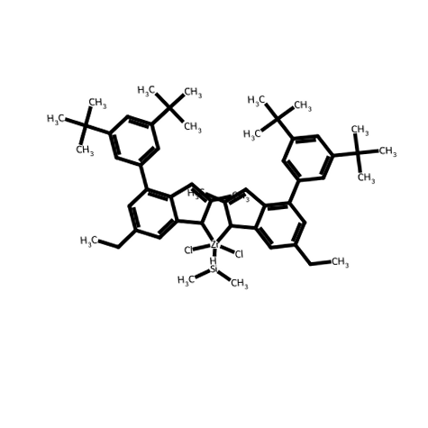 CCc1cc(-c2cc(C(C)(C)C)cc(C(C)(C)C)c2)c2c(c1)[CH]([Zr]([Cl])([Cl])([CH]1C(C)=Cc3c(-c4cc(C(C)(C)C)cc(C(C)(C)C)c4)cc(CC)cc31)[SiH](C)C)C(C)=C2